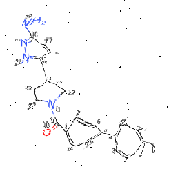 Cc1ccc(-c2ccc(C(=O)N3CCC(c4ccc(N)nn4)CC3)cc2)cc1